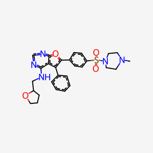 CN1CCN(S(=O)(=O)c2ccc(-c3oc4ncnc(NCC5CCCO5)c4c3-c3ccccc3)cc2)CC1